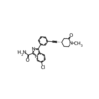 CN1CC[C@H](C#Cc2cccc(-c3nc(C(N)=O)n4cc(Cl)ccc34)c2)CC1=O